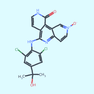 CC(C)(O)c1cc(Cl)c(Nc2nc3cc[n+]([O-])cc3c3c(=O)[nH]ccc23)c(Cl)c1